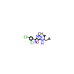 Cc1nc(NC(CC2CC2)C2CC2)c2onc(-c3ccc(Cl)cc3Cl)c2n1